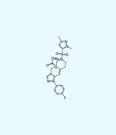 COC(=O)[C@]12Cc3cnn(-c4ccc(F)cc4)c3C=C1CCN(S(=O)(=O)c1cc(C)nn1C)C2